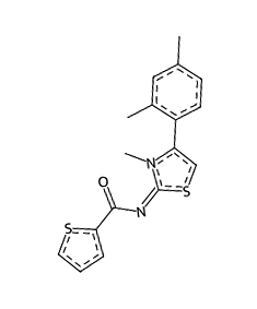 Cc1ccc(-c2csc(=NC(=O)c3cccs3)n2C)c(C)c1